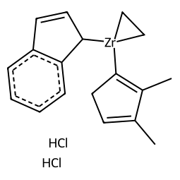 CC1=CC[C]([Zr]2([CH]3C=Cc4ccccc43)[CH2][CH2]2)=C1C.Cl.Cl